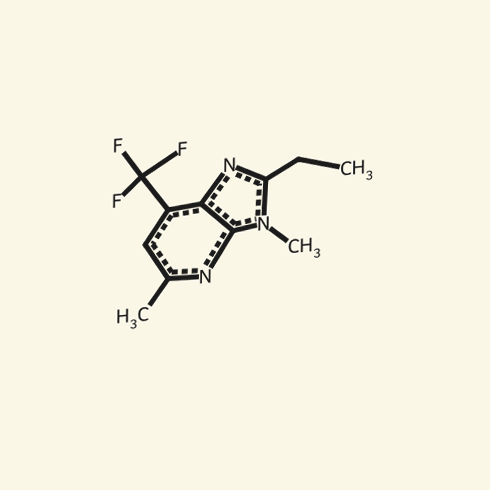 CCc1nc2c(C(F)(F)F)cc(C)nc2n1C